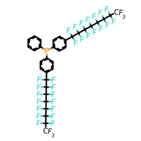 FC(F)(F)C(F)(F)C(F)(F)C(F)(F)C(F)(F)C(F)(F)C(F)(F)C(F)(F)c1ccc(P(c2ccccc2)c2ccc(C(F)(F)C(F)(F)C(F)(F)C(F)(F)C(F)(F)C(F)(F)C(F)(F)C(F)(F)F)cc2)cc1